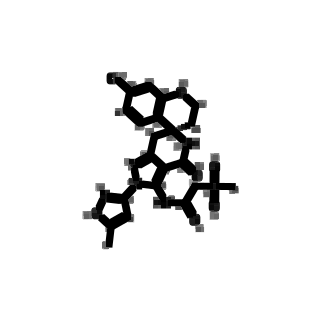 Cc1cc(-n2nc3c(c2NC(=O)CS(C)(=O)=O)C(=O)N[C@@]2(CCOc4cc(Cl)ccc42)C3)no1